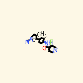 CC1=C(c2ccc(NC(=O)c3ccncc3F)cc2)CN(C#N)CC1